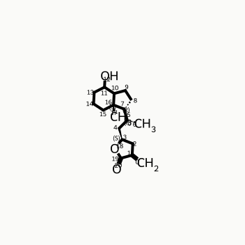 C=C1C[C@H](C[C@@H](C)[C@H]2CCC3C(O)CCC[C@]32C)OC1=O